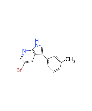 Cc1cccc(-c2c[nH]c3ncc(Br)cc23)c1